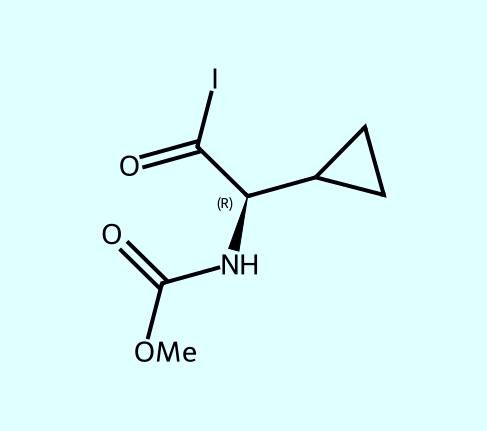 COC(=O)N[C@@H](C(=O)I)C1CC1